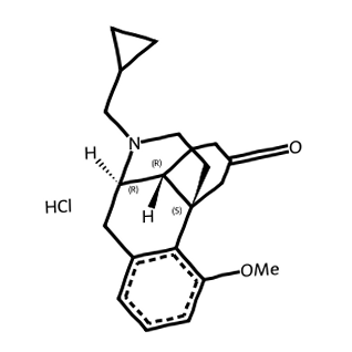 COc1cccc2c1[C@]13CCN(CC4CC4)[C@H](C2)[C@@H]1CCC(=O)C3.Cl